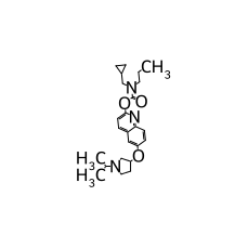 CCCN(CC1CC1)C(=O)Oc1ccc2cc(OC3CCN(C(C)C)C3)ccc2n1